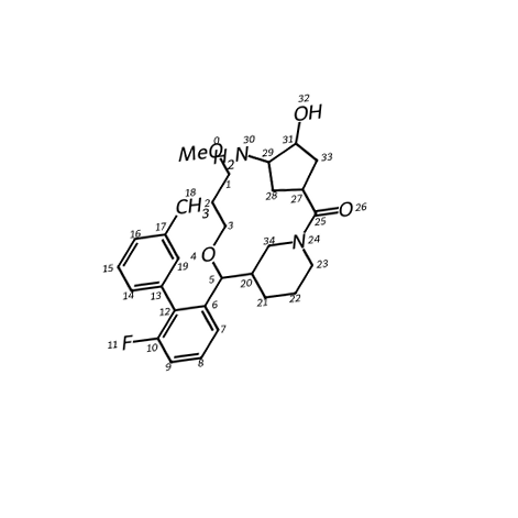 COCCCOC(c1cccc(F)c1-c1cccc(C)c1)C1CCCN(C(=O)C2CC(N)C(O)C2)C1